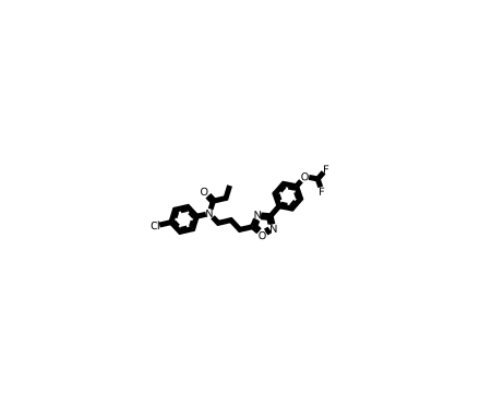 CCC(=O)N(CCCc1nc(-c2ccc(OC(F)F)cc2)no1)c1ccc(Cl)cc1